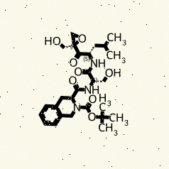 CC(C)C[C@H](NC(=O)[C@H](CO)NC(=O)C1Cc2ccccc2CN1C(=O)OC(C)(C)C)C(=O)[C@@]1(CO)CO1